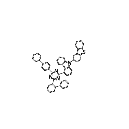 c1ccc(-c2ccc(-c3nc(-c4ccccc4-c4ccccc4)nc(-c4cccc5c4c4ccccc4n5-c4ccc5sc6ccccc6c5c4)n3)cc2)cc1